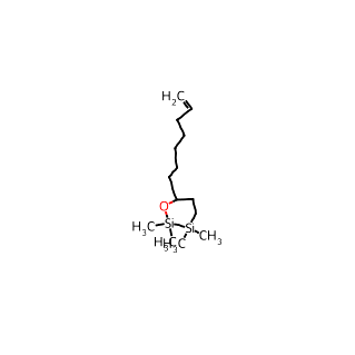 C=CCCCCCC1CC[Si](C)(C)[Si](C)(C)O1